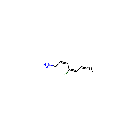 C=C/C=C(F)\C=C/CN